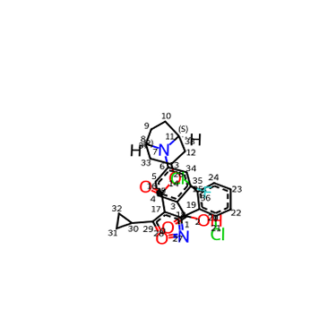 O=C(O)c1ccc(N2[C@@H]3CC[C@H]2CC(OC(=O)c2c(-c4c(Cl)cccc4Cl)noc2C2CC2)C3)cc1F